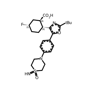 CC(C)(C)c1nc([C@@H]2CC[C@H](F)C[C@H]2C(=O)O)c(-c2ccc(N3CCS(=N)(=O)CC3)cc2)o1